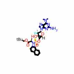 C[C@@H](NP(=S)(Oc1cccc2ccccc12)OC1[C@H]2O[C@@H](n3cnc4c(N(C)C)nc(N)nc43)[C@](C)(F)[C@@]12O)C(=O)OCC(C)(C)C